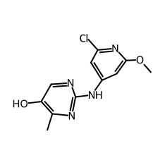 COc1cc(Nc2ncc(O)c(C)n2)cc(Cl)n1